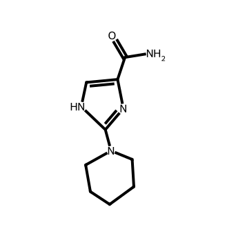 NC(=O)c1c[nH]c(N2CCCCC2)n1